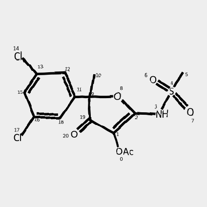 CC(=O)OC1=C(NS(C)(=O)=O)OC(C)(c2cc(Cl)cc(Cl)c2)C1=O